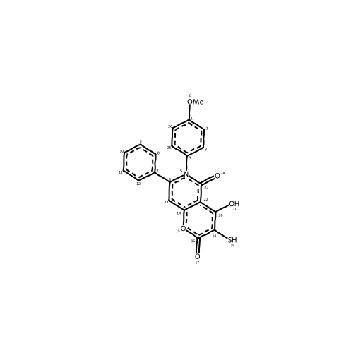 COc1ccc(-n2c(-c3ccccc3)cc3oc(=O)c(S)c(O)c3c2=O)cc1